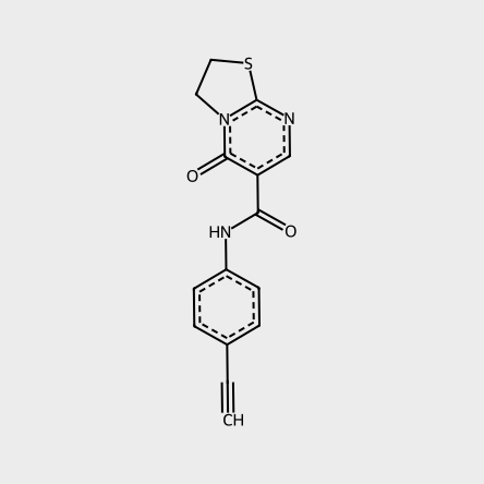 C#Cc1ccc(NC(=O)c2cnc3n(c2=O)CCS3)cc1